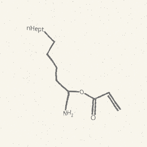 C=CC(=O)OC(N)CCCCCCCCCCC